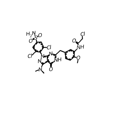 COc1ccc(Cc2nc3c(c(N(C)C)nn3-c3c(Cl)cc(S(N)(=O)=O)cc3Cl)c(=O)[nH]2)cc1NC(=O)CCl